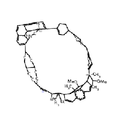 CCCC1/C=C\C2CCC3CCC(CCC3CC2)C2=CC=C3C=CC4=CC=C(C5=CCC(CC5)C5CCC(CC5)C5=CC=C(CC5)[C@@](C)(C(C)OC)C5C=Cc6ccc7c8c6C5C(OC)C(C)C8C(C=C7)C1(C)CC)[C@H]1CNC2C3C41